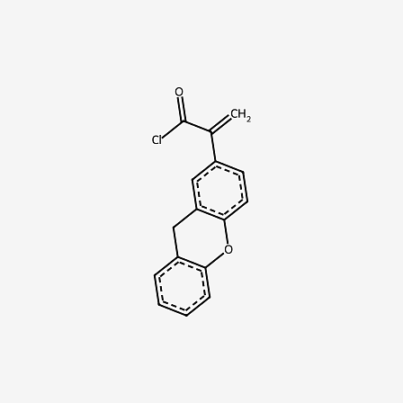 C=C(C(=O)Cl)c1ccc2c(c1)Cc1ccccc1O2